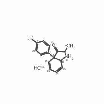 CCC(=O)C1(c2ccc(Cl)cc2)C=CC=CC1N.Cl